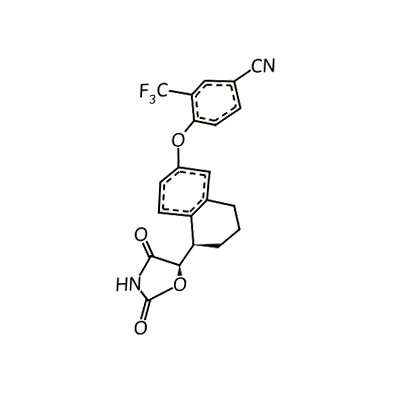 N#Cc1ccc(Oc2ccc3c(c2)CCC[C@H]3[C@H]2OC(=O)NC2=O)c(C(F)(F)F)c1